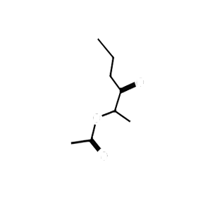 CCCC(=O)C(C)OC(C)=O